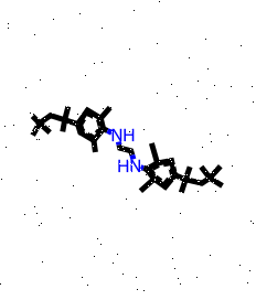 Cc1cc(C(C)(C)CC(C)(C)C)cc(C)c1NCCNc1c(C)cc(C(C)(C)CC(C)(C)C)cc1C